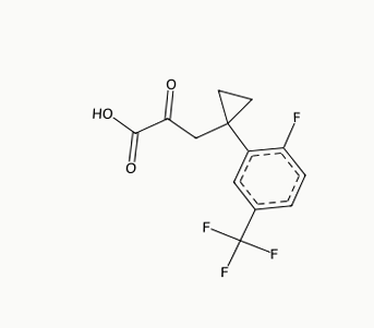 O=C(O)C(=O)CC1(c2cc(C(F)(F)F)ccc2F)CC1